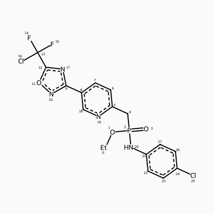 CCOP(=O)(Cc1ccc(-c2noc(C(F)(F)Cl)n2)cn1)Nc1ccc(Cl)cc1